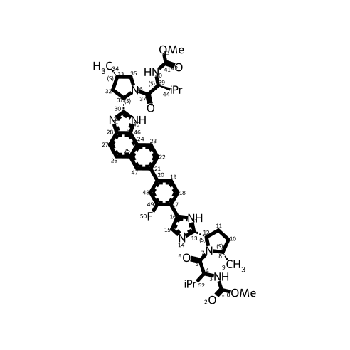 COC(=O)NC(C(=O)N1[C@@H](C)CC[C@H]1c1ncc(-c2ccc(-c3ccc4c(ccc5nc([C@@H]6C[C@H](C)CN6C(=O)[C@@H](NC(=O)OC)C(C)C)[nH]c54)c3)cc2F)[nH]1)C(C)C